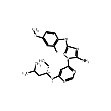 COc1ccc(Nc2nc(N)n(-c3cc(N[C@@H](CO)CC(C)C)ncn3)n2)c(F)c1